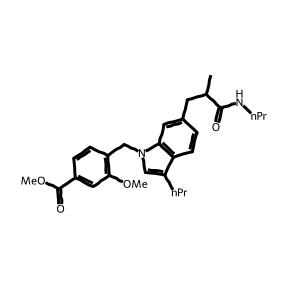 CCCNC(=O)C(C)Cc1ccc2c(CCC)cn(Cc3ccc(C(=O)OC)cc3OC)c2c1